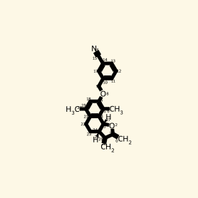 C=C1O[C@H]2c3c(C)c(OCc4cccc(C#N)c4)cc(C)c3CC[C@H]2C1=C